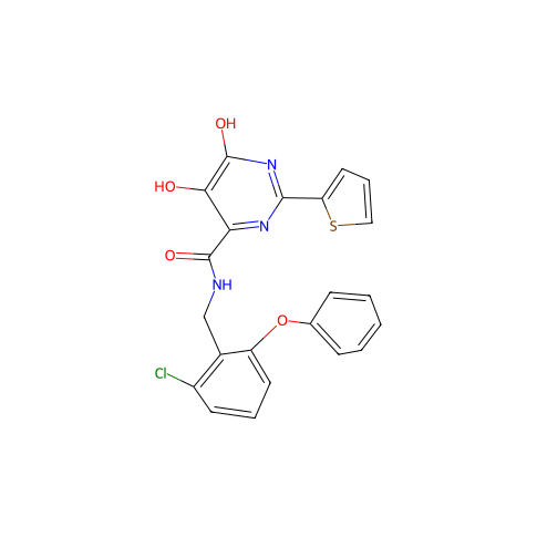 O=C(NCc1c(Cl)cccc1Oc1ccccc1)c1nc(-c2cccs2)nc(O)c1O